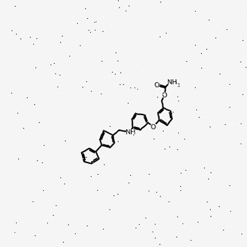 NC(=O)OCc1cccc(Oc2cccc(NCc3ccc(-c4ccccc4)cc3)c2)c1